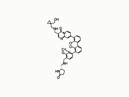 COc1nc(-c2cccc(-c3cccc(-c4ccn5c(=O)c(CNCC6(CO)CC6)cnc5c4)c3Cl)c2Cl)ccc1CNC[C@@H]1CCC(=O)N1